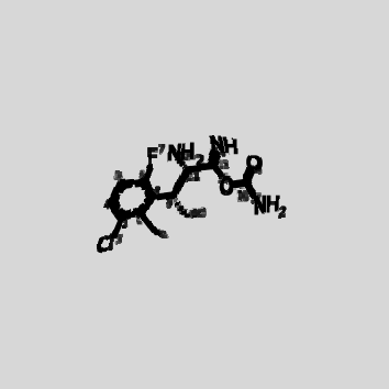 Cc1c(Cl)ccc(F)c1[C@@H](C)[C@H](N)C(=N)OC(N)=O